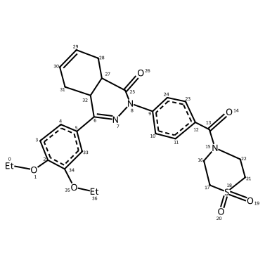 CCOc1ccc(C2=NN(c3ccc(C(=O)N4CCS(=O)(=O)CC4)cc3)C(=O)C3CC=CCC23)cc1OCC